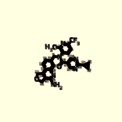 Cc1nc(C(F)(F)F)ccc1N(Cc1ccc2c3c(c(N)nc2c1)COC3)C(=O)c1cnc(C2CC2)nc1